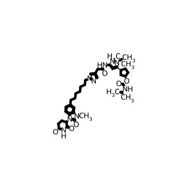 CC(C)NC(=O)O[C@@H]1CC[C@H](c2cc(NC(=O)Cc3cnn(CCCCCCCc4ccc5c(c4)n(C)c(=O)n5C4CCC(=O)NC4=O)c3)nn2C(C)(C)C)C1